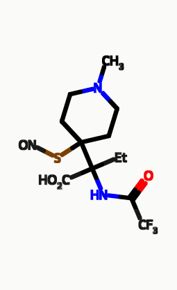 CCC(NC(=O)C(F)(F)F)(C(=O)O)C1(SN=O)CCN(C)CC1